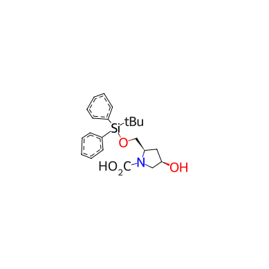 CC(C)(C)[Si](OC[C@H]1C[C@@H](O)CN1C(=O)O)(c1ccccc1)c1ccccc1